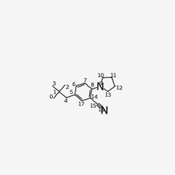 CC(C)(C)Cc1ccc(N2CCCC2)c(C#N)c1